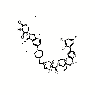 CC[C@]12CNc3nnc(-c4cc(F)cc(F)c4O)cc3N1CCN(C(=O)N1[C@H](C)CN(CC3CCN(c4ccc5c(c4)C(=O)N([C@H]4CCC(=O)NC4=O)C5)CC3)C[C@@H]1C)C2